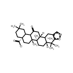 CC1(C)CC[C@]2(C(=O)Cl)CC[C@]3(C)C(C(=O)C[C@@H]4[C@@]5(C)Cc6cnoc6C(C)(C)[C@@H]5CC[C@]43C)C2C1